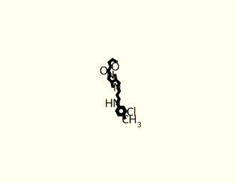 Cc1ccc(NCCCN2CC3CN(C(=O)C4CCCO4)CC3C2)cc1Cl